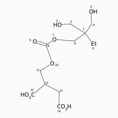 CCC(CO)(CO)COC(=O)OCC(CC(=O)O)C(=O)O